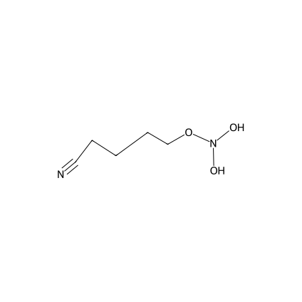 N#CCCCCON(O)O